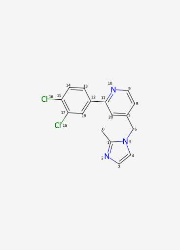 Cc1nccn1Cc1ccnc(-c2ccc(Cl)c(Cl)c2)c1